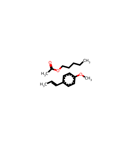 C/C=C/c1ccc(OC)cc1.CCCCCOC(C)=O